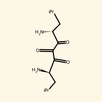 CC(C)C[C@@H](N)C(=O)C(=O)C(=O)[C@H](N)CC(C)C